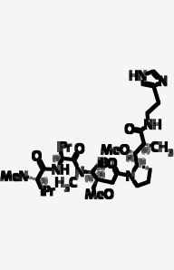 CC[C@H](C)[C@@H]([C@@H](CC(=O)N1CCC[C@H]1[C@H](OC)[C@@H](C)C(=O)NCCc1c[nH]cn1)OC)N(C)C(=O)[C@@H](NC(=O)[C@@H](NC)C(C)C)C(C)C